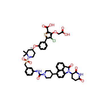 CC1(C)C[C@@H](Oc2cccc(-c3sc(C(=O)O)c(OCC(=O)O)c3Cl)c2)CCN1S(=O)(=O)Cc1cccc(NC(=O)N2CCC(c3ccc4c5c(cccc35)C(=O)N4C3CCC(=O)NC3=O)CC2)c1